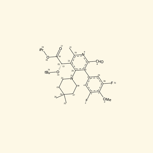 COc1c(F)cc(-c2c(C=O)nc(C)c([C@H](OC(C)(C)C)C(=O)OC(C)C)c2N2CCC(C)(C)CC2)cc1F